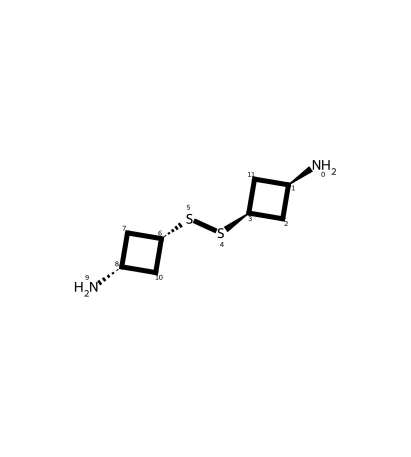 N[C@H]1C[C@@H](SS[C@H]2C[C@@H](N)C2)C1